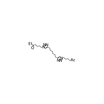 CCC(=O)CCCCn1cc(CCCCCCc2cn(CCCCC(C)=O)nn2)nn1